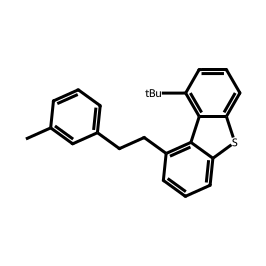 Cc1cccc(CCc2cccc3sc4cccc(C(C)(C)C)c4c23)c1